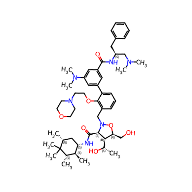 C[C@@H]1[C@@H](NC(=O)[C@@H]2[C@H]([C@H](C)O)[C@H](CO)ON2Cc2cccc(-c3cc(C(=O)N[C@@H](Cc4ccccc4)CN(C)C)cc(N(C)C)c3)c2OCCN2CCOCC2)C[C@@H](C)C(C)(C)[C@H]1C